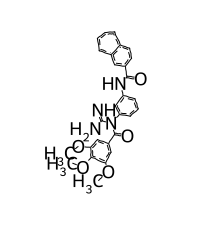 COc1cc(C(=O)N(C(=N)N)c2cccc(NC(=O)c3ccc4ccccc4c3)c2)cc(OC)c1OC